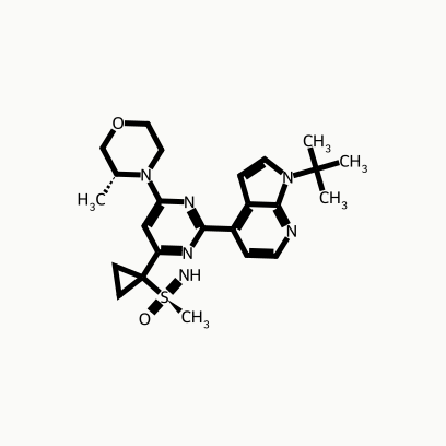 C[C@@H]1COCCN1c1cc(C2([S@](C)(=N)=O)CC2)nc(-c2ccnc3c2ccn3C(C)(C)C)n1